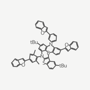 Cc1cc(-c2cc3ccccc3o2)cc(C)c1N1c2cc(C(C)(C)C)cc3c2B(c2ccc(-c4cc5ccccc5o4)cc2N3c2cccc(-c3cc4ccccc4o3)c2)c2c1sc1ccc(C(C)(C)C)cc21